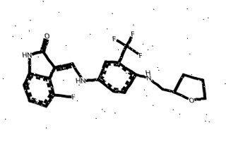 O=C1Nc2cccc(F)c2/C1=C\Nc1ccc(NCC2CCCO2)c(C(F)(F)F)c1